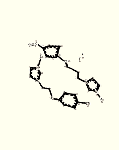 CC(=O)[n+]1ccn(CCOc2ccc(C#N)cc2)c1.CCOC(=O)c1ccc(OCCCn2cc[n+](C(C)=O)c2)cc1.[I-].[I-]